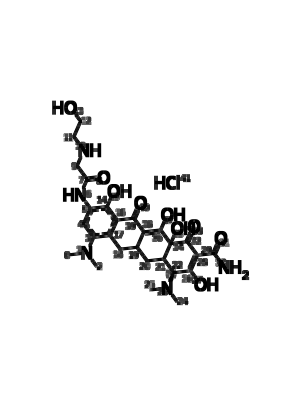 CN(C)c1cc(NC(=O)CNCCO)c(O)c2c1CC1CC3[C@H](N(C)C)C(O)=C(C(N)=O)C(=O)C3(O)C(O)=C1C2=O.Cl